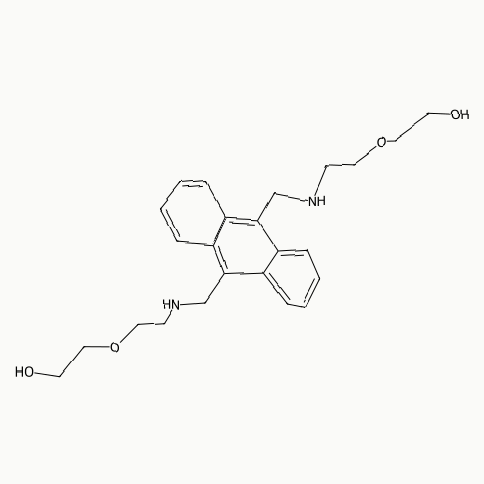 OCCOCCNCc1c2ccccc2c(CNCCOCCO)c2ccccc12